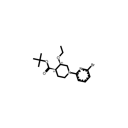 CCO[C@H]1CN(c2cccc(Br)n2)CC[C@H]1C(=O)OC(C)(C)C